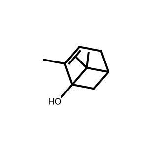 CC1=CCC2CC1(O)C2(C)C